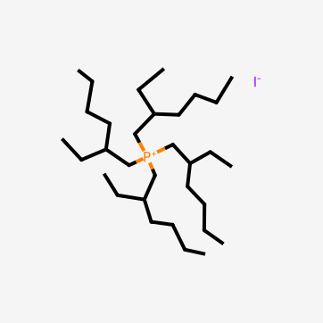 CCCCC(CC)C[P+](CC(CC)CCCC)(CC(CC)CCCC)CC(CC)CCCC.[I-]